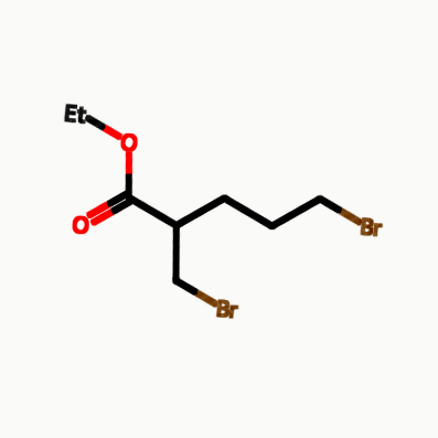 CCOC(=O)C(CBr)CCCBr